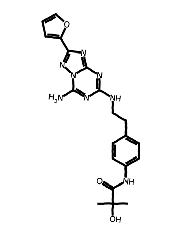 CC(C)(O)C(=O)Nc1ccc(CCNc2nc(N)n3nc(-c4ccco4)nc3n2)cc1